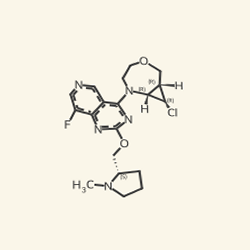 CN1CCC[C@H]1COc1nc(N2CCOC[C@@H]3[C@@H](Cl)[C@@H]32)c2cncc(F)c2n1